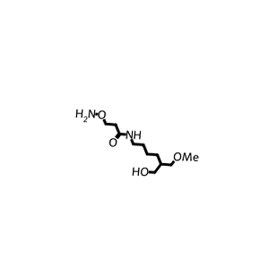 COCC(CO)CCCCNC(=O)CCON